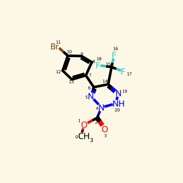 COC(=O)N1N=C(c2ccc(Br)cc2)C(C(F)(F)F)=NN1